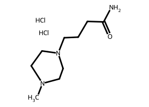 CN1CCN(CCCC(N)=O)CC1.Cl.Cl